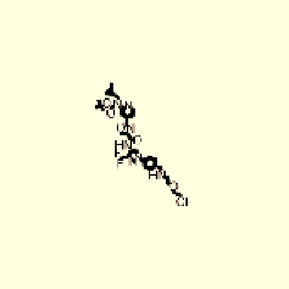 CC1CC1CN(C(=O)OC(C)(C)C)c1cc(-c2nc(C(=O)Nc3cn(-c4ccc(CNCCOCCO)cc4)nc3C(F)F)co2)ccn1